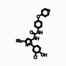 CC(C)(C)c1cc(NC(=O)Nc2ccc(Oc3ccncc3)cc2)n(-c2ccc(O)c(Cl)c2)n1